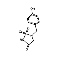 O=C1CN(Cc2ccc(O)cc2)S(=O)(=O)N1